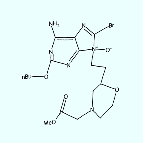 CCCCOc1nc(N)c2c(n1)[N+]([O-])(CCC1CN(CC(=O)OC)CCO1)C(Br)=N2